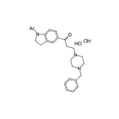 CC(=O)N1CCc2cc(C(=O)CCN3CCN(Cc4ccccc4)CC3)ccc21.Cl.Cl